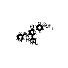 Cn1cc(-c2cn(-c3ccc(OC(F)(F)F)cc3)c(=O)cc2NCc2cccnc2)cn1